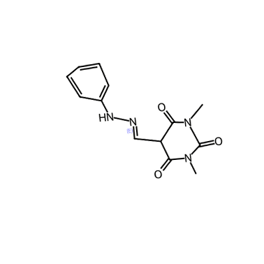 CN1C(=O)C(/C=N/Nc2ccccc2)C(=O)N(C)C1=O